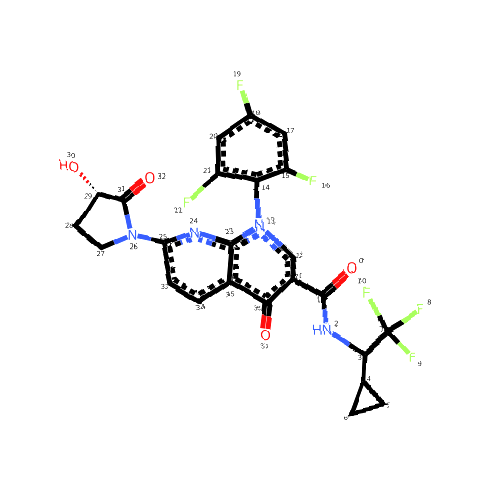 O=C(NC(C1CC1)C(F)(F)F)c1cn(-c2c(F)cc(F)cc2F)c2nc(N3CC[C@H](O)C3=O)ccc2c1=O